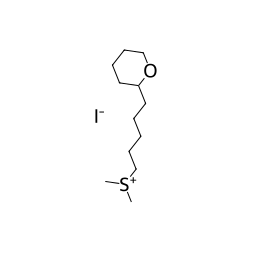 C[S+](C)CCCCCC1CCCCO1.[I-]